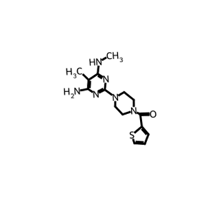 CNc1nc(N2CCN(C(=O)c3cccs3)CC2)nc(N)c1C